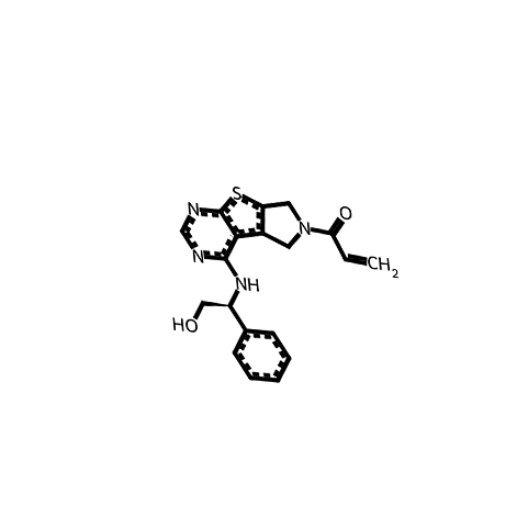 C=CC(=O)N1Cc2sc3ncnc(N[C@H](CO)c4ccccc4)c3c2C1